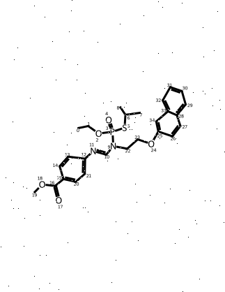 CCOP(=O)(SC(C)C)N(C=Nc1ccc(C(=O)OC)cc1)CCOc1ccc2ccccc2c1